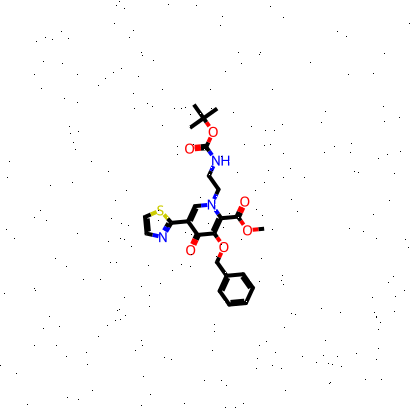 COC(=O)c1c(OCc2ccccc2)c(=O)c(-c2nccs2)cn1CCNC(=O)OC(C)(C)C